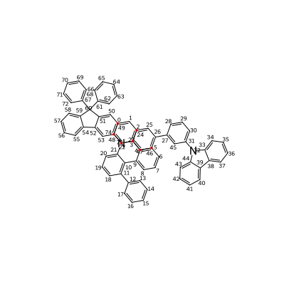 c1ccc(-c2ccccc2-c2c(-c3ccccc3)cccc2N(c2ccc(-c3cccc(-n4c5ccccc5c5ccccc54)c3)cc2)c2ccc3c(c2)-c2ccccc2C3(c2ccccc2)c2ccccc2)cc1